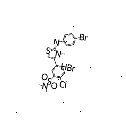 Br.CN(C)S(=O)(=O)c1cc(-c2cs/c(=N/c3ccc(Br)cc3)n2C)ccc1Cl